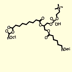 CCCCCCCCCCCCCCCC(=O)OCC(COP(=O)(O)OCC[N+](C)(C)C)OC(=O)CCCCCCCC1OOC(CCCCCCCC)O1